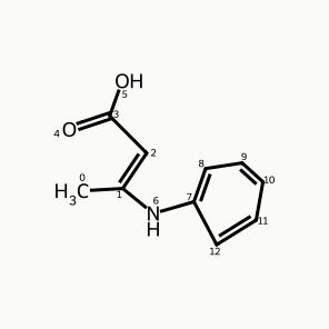 CC(=CC(=O)O)Nc1ccccc1